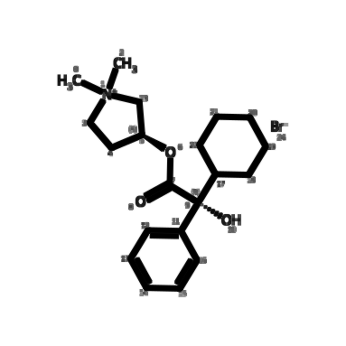 C[N+]1(C)CC[C@H](OC(=O)[C@](O)(c2ccccc2)C2CCCCC2)C1.[Br-]